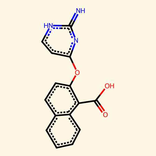 N=c1nc(Oc2ccc3ccccc3c2C(=O)O)cc[nH]1